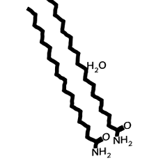 CCCCCCCCCCCCCCCCCC(N)=O.CCCCCCCCCCCCCCCCCC(N)=O.O